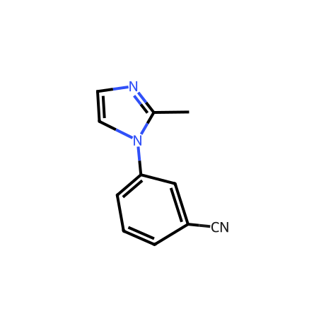 Cc1nccn1-c1cccc(C#N)c1